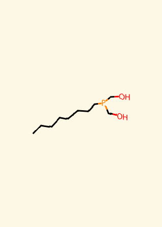 CCCCCCCCP(CO)CO